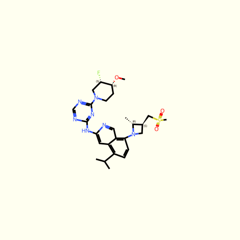 CO[C@@H]1CCN(c2ncnc(Nc3cc4c(C(C)C)ccc(N5C[C@H](CS(C)(=O)=O)[C@H]5C)c4cn3)n2)C[C@@H]1F